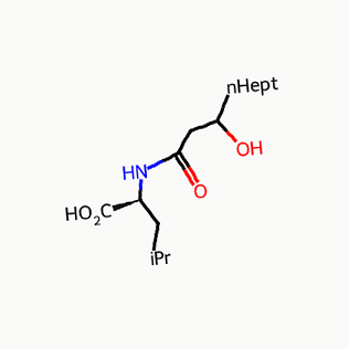 CCCCCCCC(O)CC(=O)N[C@@H](CC(C)C)C(=O)O